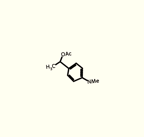 CNc1ccc(C(C)OC(C)=O)cc1